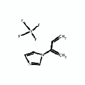 C=CC(=C)n1ccnc1.F[B-](F)(F)F